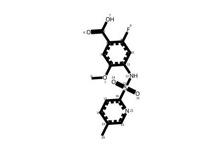 COc1cc(C(=O)O)c(F)cc1NS(=O)(=O)c1ccc(C)cn1